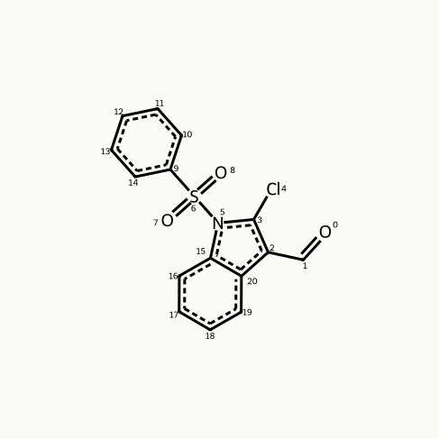 O=Cc1c(Cl)n(S(=O)(=O)c2ccccc2)c2ccccc12